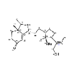 C/C=C(/CO)C1CCC(CC[C@H]2SC(C)[C@@]3(C)CCC(=O)C=C23)[C@]1(C)CCCC